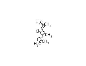 CCN(C)C=Nc1cc(C)c(Cc2cccc(C)c2C)cc1Cl